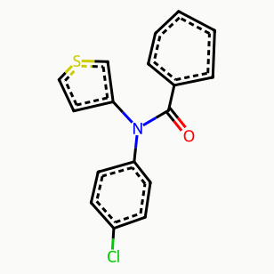 O=C(c1ccccc1)N(c1ccc(Cl)cc1)c1ccsc1